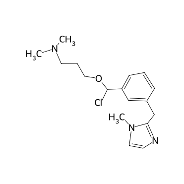 CN(C)CCCOC(Cl)c1cccc(Cc2nccn2C)c1